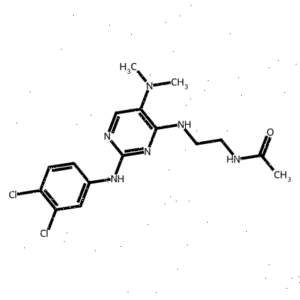 CC(=O)NCCNc1nc(Nc2ccc(Cl)c(Cl)c2)ncc1N(C)C